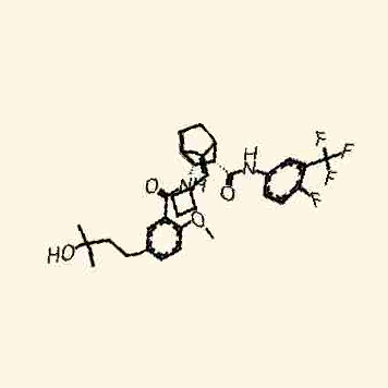 COc1ccc(CCC(C)(C)O)cc1C(=O)N[C@@H]1C2CCC(/C2=C/C2CCC2)[C@@H]1C(=O)Nc1ccc(F)c(C(F)(F)F)c1